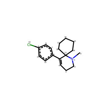 CN1CCC=C(c2ccc(Cl)cc2)C12CCCCC2